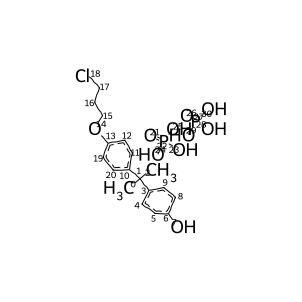 CC(C)(c1ccc(O)cc1)c1ccc(OCCCCl)cc1.O=P(O)(O)O.O=P(O)(O)O